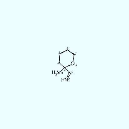 N=NC1([SiH3])CCCCO1